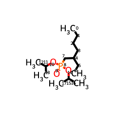 CCCCC(CC)CP(=O)(OC(C)C)OC(C)C